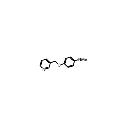 CNc1ccc(OCc2cccnc2)cc1